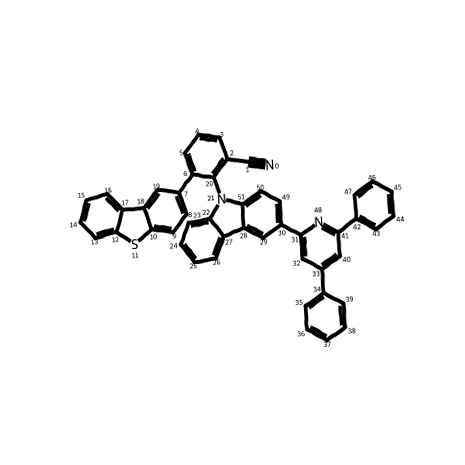 N#Cc1cccc(-c2ccc3sc4ccccc4c3c2)c1-n1c2ccccc2c2cc(-c3cc(-c4ccccc4)cc(-c4ccccc4)n3)ccc21